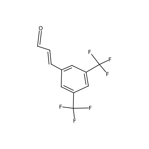 O=CC=Cc1cc(C(F)(F)F)cc(C(F)(F)F)c1